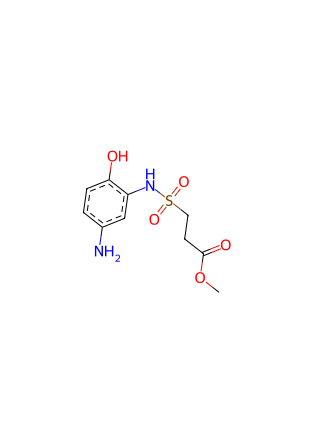 COC(=O)CCS(=O)(=O)Nc1cc(N)ccc1O